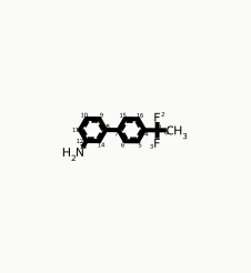 CC(F)(F)c1ccc(-c2cccc(N)c2)cc1